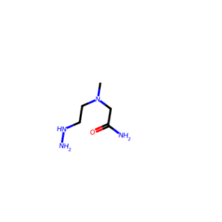 CN(CCNN)CC(N)=O